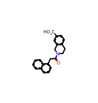 O=C(O)c1ccc2c(c1)CN(C(=O)Cc1cccc3ccccc13)CC2